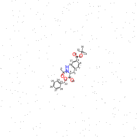 CC(=O)NC(Cc1ccc(C(=O)OC(C)(C)C)cc1)C(=O)OCc1ccccc1